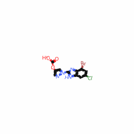 O=C(O)Oc1cnn(-c2nc3c(Br)cc(Cl)cc3[nH]2)c1